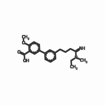 CCN(C)C(=N)CCCc1cccc(-c2ccc(OC)c(C(=O)O)c2)c1